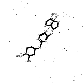 CC(=O)O[C@H]1CO[C@H]2[C@@H]1OC[C@@H]2Oc1ccnc(NC2CCN(C(=O)O)C(C(C)(C)C)C2)n1